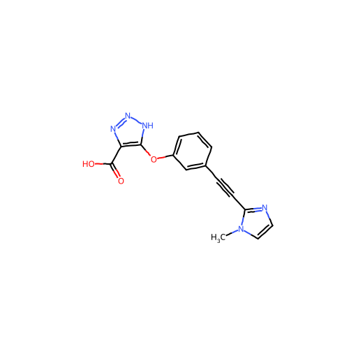 Cn1ccnc1C#Cc1cccc(Oc2[nH]nnc2C(=O)O)c1